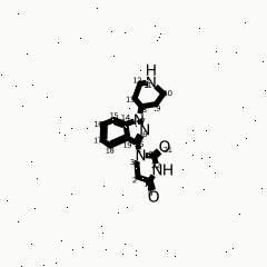 O=C1CCN(c2nn(C3CCNCC3)c3ccccc23)C(=O)N1